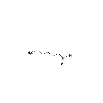 CSCCCCC([NH])=O